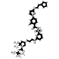 CC(C)(C)OC(=O)N1C[C@@H](CCCNc2cccc(S(=O)(=O)NC(=O)c3ccc(-n4ccc(OCCC5CCCC5)n4)cc3F)n2)CC1(C)C